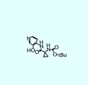 CC(C)(C)OC(=O)NC1(C(=O)Nc2ccncc2O)CC1